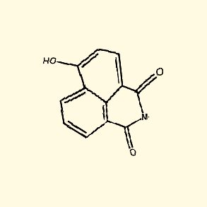 O=C1[N]C(=O)c2ccc(O)c3cccc1c23